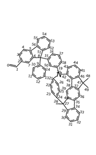 C=Cc1ccc2c(c1)C(c1ccccc1)(c1cccc(N3c4ccc(cc4)C4(C)c5ccccc5-c5cc6c(cc54)-c4c3cccc4C6(C)C)c1)c1ccccc1-2